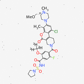 [2H]C([2H])([2H])Oc1cc(C(=O)N2CCc3c(c(=O)oc4c(C)c(N5CCN(C)[C@@H](COC)C5)cc(Cl)c34)C2)c(F)cc1C(=O)NS(=O)(=O)N1CCCC1